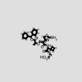 C=C(O/N=C(\C(=O)NC1C(=O)N(OS(=O)(=O)O)C12CCC2)c1csc(N)n1)C(=O)OC(c1ccccc1)c1ccccc1